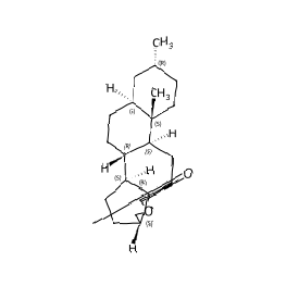 C[C@@H]1CC[C@@]2(C)[C@@H](CC[C@@H]3[C@@H]2CC[C@]24C(=O)OC[C@H]2CC[C@@H]34)C1